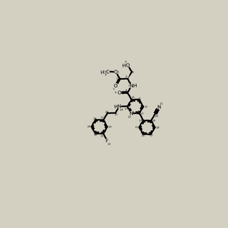 COC(=O)[C@@H](CO)NC(=O)c1ccc(-c2ccccc2C#N)nc1NCCc1cccc(F)c1